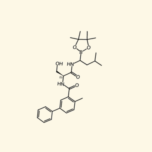 Cc1ccc(-c2ccccc2)cc1C(=O)N[C@@H](CO)C(=O)NC(CC(C)C)B1OC(C)(C)C(C)(C)O1